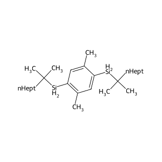 CCCCCCCC(C)(C)[SiH2]c1cc(C)c([SiH2]C(C)(C)CCCCCCC)cc1C